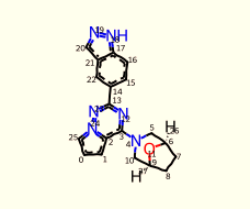 c1cc2c(N3C[C@H]4CC[C@@H](C3)O4)nc(-c3ccc4[nH]ncc4c3)nn2c1